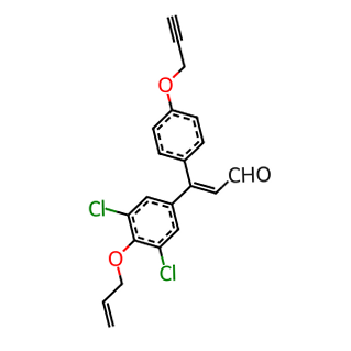 C#CCOc1ccc(/C(=C\C=O)c2cc(Cl)c(OCC=C)c(Cl)c2)cc1